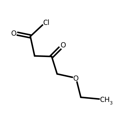 CCOCC(=O)CC(=O)Cl